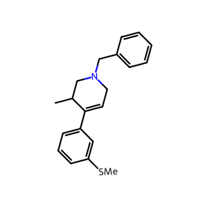 CSc1cccc(C2=CCN(Cc3ccccc3)CC2C)c1